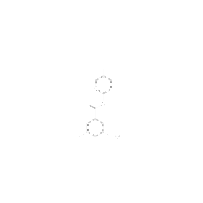 COc1cc(C)cc(C(=O)Nc2ccc(I)cn2)c1